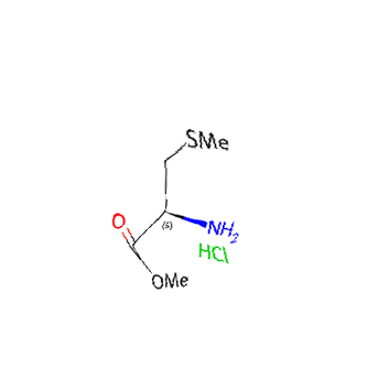 COC(=O)[C@H](N)CSC.Cl